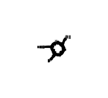 O=Cc1nc(O)ccc1F